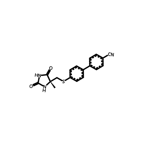 C[C@@]1(CSc2ccc(-c3ccc(C#N)cc3)cc2)NC(=O)NC1=O